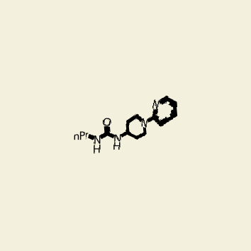 [CH2]CCNC(=O)NC1CCN(c2ccccn2)CC1